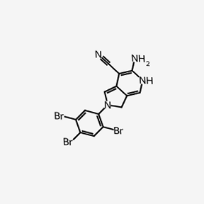 N#CC1=C(N)NC=C2CN(c3cc(Br)c(Br)cc3Br)C=C21